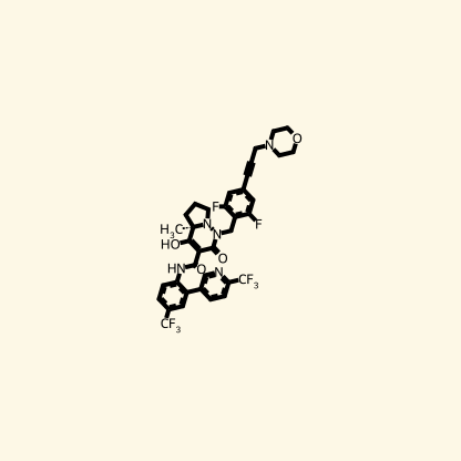 C[C@]12CCCN1N(Cc1c(F)cc(C#CCN3CCOCC3)cc1F)C(=O)C(C(=O)Nc1ccc(C(F)(F)F)cc1-c1ccc(C(F)(F)F)nc1)=C2O